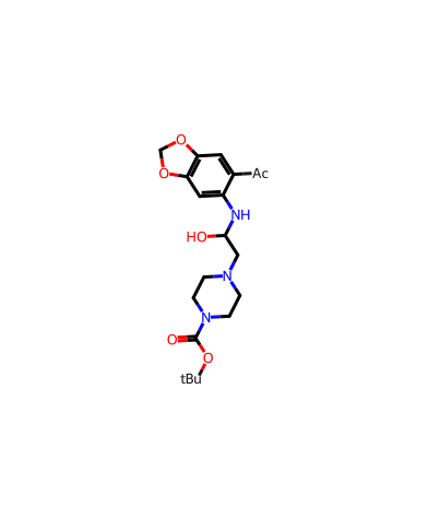 CC(=O)c1cc2c(cc1NC(O)CN1CCN(C(=O)OC(C)(C)C)CC1)OCO2